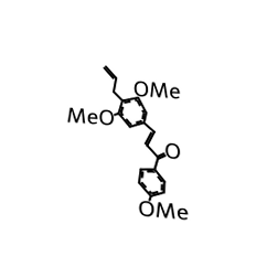 C=CCc1c(OC)cc(/C=C/C(=O)c2ccc(OC)cc2)cc1OC